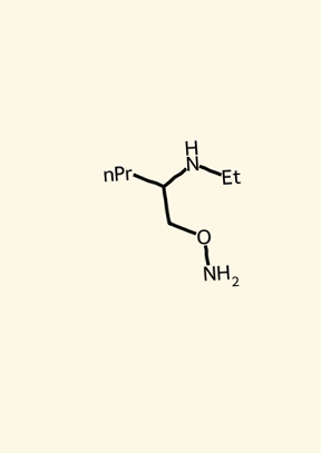 CCCC(CON)NCC